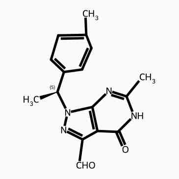 Cc1ccc([C@H](C)n2nc(C=O)c3c(=O)[nH]c(C)nc32)cc1